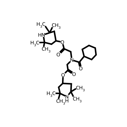 CC1(C)CC(OC(=O)CN(CC(=O)OC2CC(C)(C)NC(C)(C)C2)C(=O)C2CCCCC2)CC(C)(C)N1